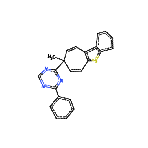 CC1(c2ncnc(-c3ccccc3)n2)C=Cc2sc3ccccc3c2C=C1